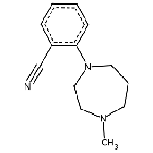 CN1CCCN(c2ccccc2C#N)CC1